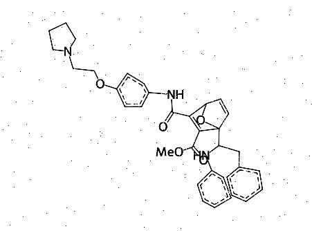 COC(=O)C1=C(C(=O)Nc2ccc(OCCN3CCCC3)cc2)C2C=CC1(C(Cc1ccccc1)Nc1ccccc1)O2